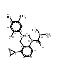 Cc1cc(OCc2c(C3CC3)cccc2N(N)C(=O)N(C)N)c(Cl)cc1O